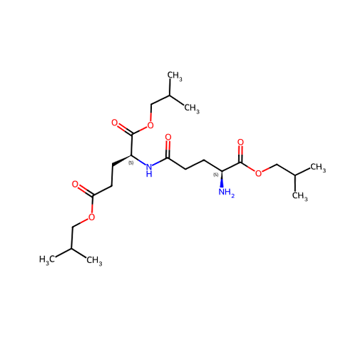 CC(C)COC(=O)CC[C@H](NC(=O)CC[C@H](N)C(=O)OCC(C)C)C(=O)OCC(C)C